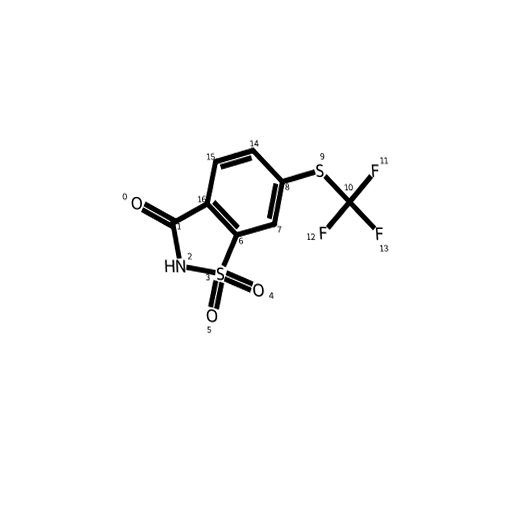 O=C1NS(=O)(=O)c2cc(SC(F)(F)F)ccc21